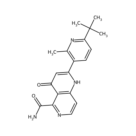 Cc1nc(C(C)(C)C)ccc1-c1cc(=O)c2c(C(N)=O)nccc2[nH]1